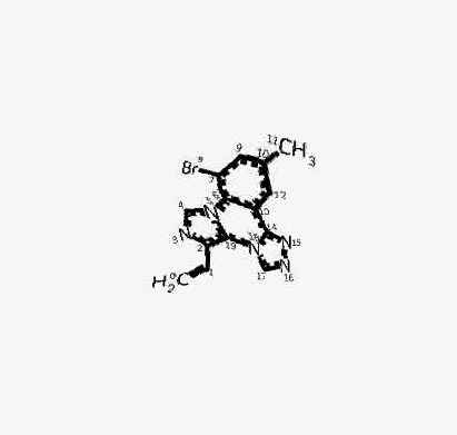 C=Cc1ncn2c3c(Br)cc(C)cc3c3nncn3c12